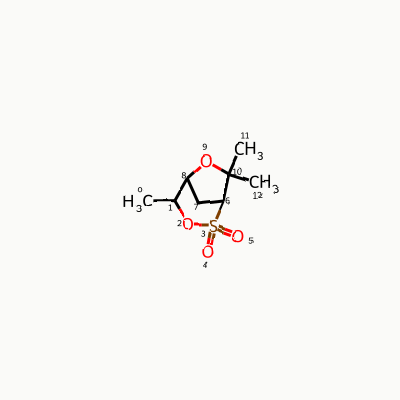 CC1OS(=O)(=O)C2CC1OC2(C)C